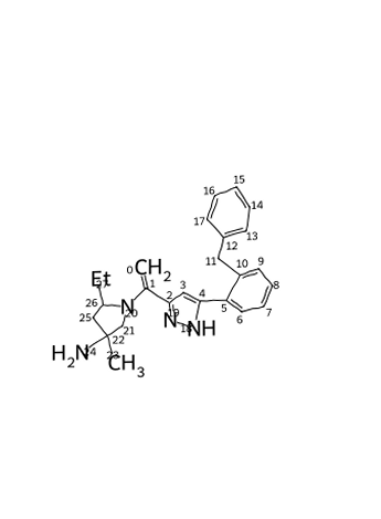 C=C(c1cc(-c2ccccc2Cc2ccccc2)[nH]n1)N1CC(C)(N)CC1CC